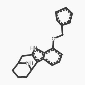 c1ccc(COc2cccc3c4c([nH]c23)CC2CCCC4N2)cc1